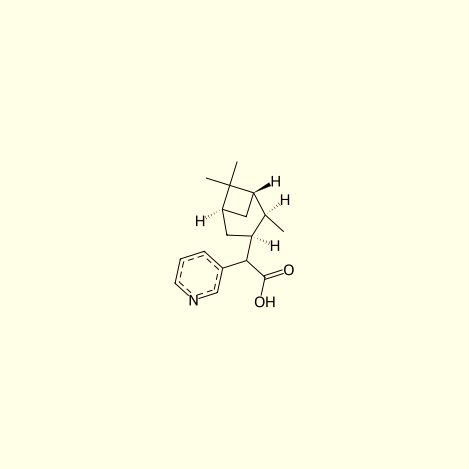 C[C@H]1[C@@H](C(C(=O)O)c2cccnc2)C[C@@H]2C[C@@H]1C2(C)C